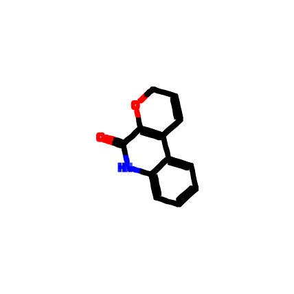 O=c1[nH]c2ccccc2c2c1OCC=C2